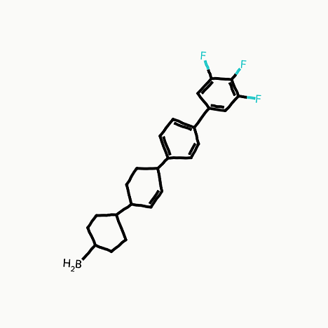 BC1CCC(C2C=CC(c3ccc(-c4cc(F)c(F)c(F)c4)cc3)CC2)CC1